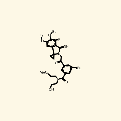 CCOc1cc2c(c(F)c1OCC)C(=N)N(CC(=O)c1cc(C(=O)N(CCO)CCOC)cc(C(C)(C)C)c1)C21CC1